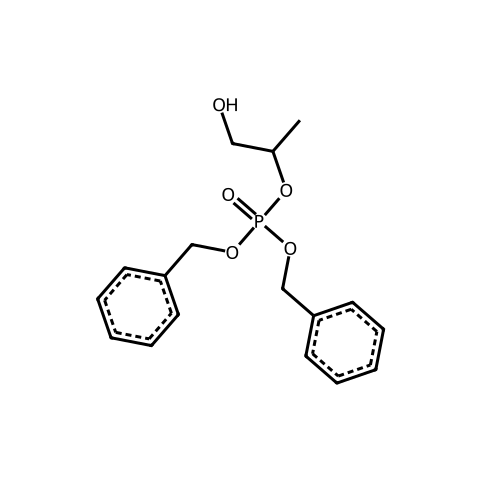 CC(CO)OP(=O)(OCc1ccccc1)OCc1ccccc1